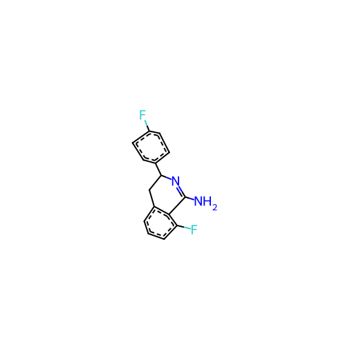 NC1=NC(c2ccc(F)cc2)Cc2cccc(F)c21